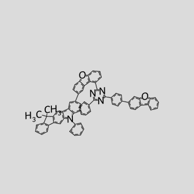 CC1(C)c2ccccc2-c2cc3c(cc21)c1cc(-c2ccc4oc5cccc(-c6nc(-c7ccccc7)nc(-c7ccc(-c8ccc9c(c8)oc8ccccc89)cc7)n6)c5c4c2)ccc1n3-c1ccccc1